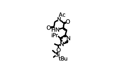 CC(=O)N1CC(=O)NC(=Cc2ncn(C(C)O[Si](C)(C)C(C)(C)C)c2C(C)C)C1=O